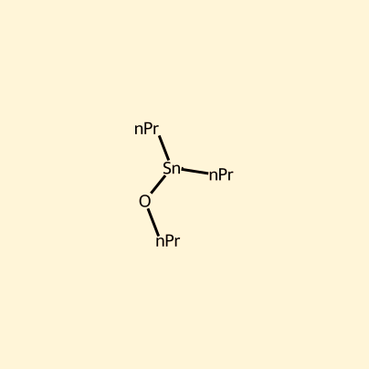 CCC[O][Sn]([CH2]CC)[CH2]CC